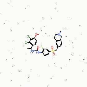 COc1ccc(C(C)NC(=O)Nc2ccc(S(=O)(=O)Cc3ccc4c(c3)CCN(C)C4)cc2F)c(Cl)c1Cl